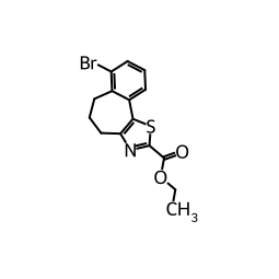 CCOC(=O)c1nc2c(s1)-c1cccc(Br)c1CCC2